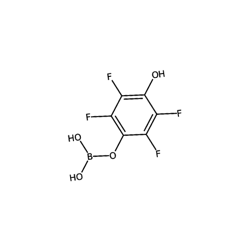 OB(O)Oc1c(F)c(F)c(O)c(F)c1F